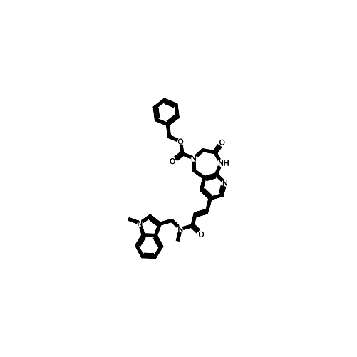 CN(Cc1cn(C)c2ccccc12)C(=O)C=Cc1cnc2c(c1)CN(C(=O)OCc1ccccc1)CC(=O)N2